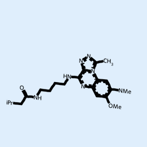 CNc1cc2c(cc1OC)nc(NCCCCNC(=O)CC(C)C)c1nnc(C)n12